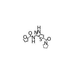 O=C(Nc1n[nH]c2cc(C(=O)N3CCCC3)sc12)c1ccco1